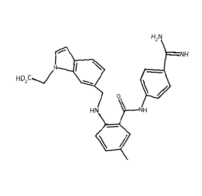 Cc1ccc(NCc2ccc3ccn(CC(=O)O)c3c2)c(C(=O)Nc2ccc(C(=N)N)cc2)c1